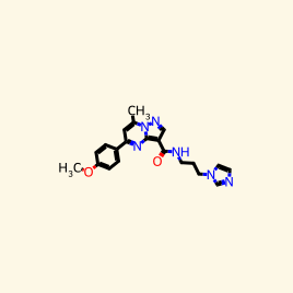 COc1ccc(-c2cc(C)n3ncc(C(=O)NCCCn4ccnc4)c3n2)cc1